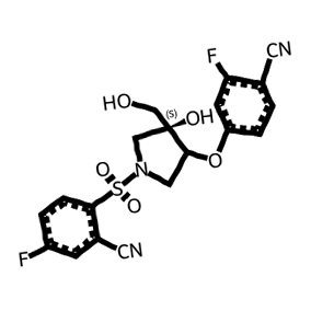 N#Cc1ccc(OC2CN(S(=O)(=O)c3ccc(F)cc3C#N)C[C@]2(O)CO)cc1F